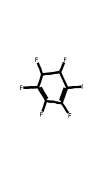 FC1=C(F)C(F)C(F)C(I)=C1F